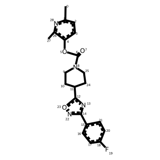 Cc1ccc(OC(=O)N2CCC(c3nc(-c4ccc(F)cc4)no3)CC2)c(C)n1